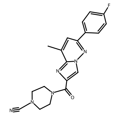 Cc1cc(-c2ccc(F)cc2)nn2cc(C(=O)N3CCN(C#N)CC3)nc12